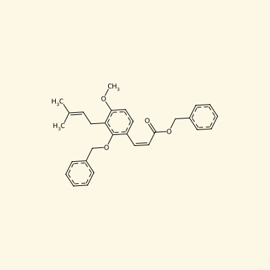 COc1ccc(/C=C\C(=O)OCc2ccccc2)c(OCc2ccccc2)c1CC=C(C)C